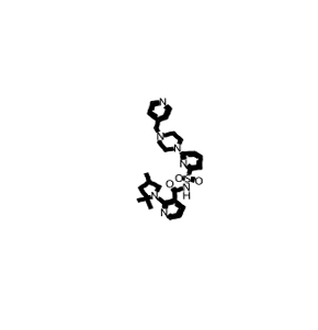 CC1CN(c2ncccc2C(=O)NS(=O)(=O)c2cccc(N3CCN(Cc4ccncc4)CC3)n2)C(C)(C)C1